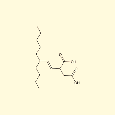 CCCCCC(C=CC(CC(=O)O)C(=O)O)CCCC